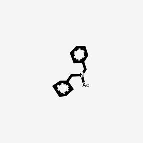 CC(=O)N(Cc1ccccc1)Cc1ccccc1